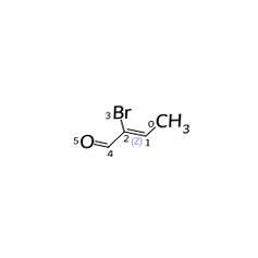 C/C=C(\Br)C=O